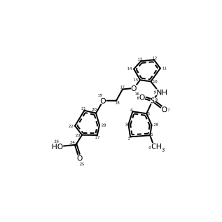 Cc1cccc(S(=O)(=O)Nc2ccccc2OCCOc2ccc(C(=O)O)cc2)c1